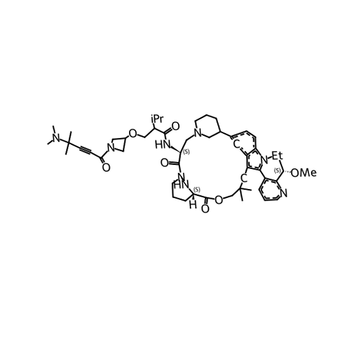 CCn1c(-c2cccnc2[C@H](C)OC)c2c3cc(ccc31)C1CCCN(C1)C[C@H](NC(=O)C(COC1CN(C(=O)C#CC(C)(C)N(C)C)C1)C(C)C)C(=O)N1CCC[C@H](N1)C(=O)OCC(C)(C)C2